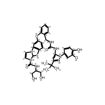 CC(C)(C)c1cc(NC(=O)NCc2ccccc2Oc2ccc3c(c2)N2C=CN(C(=O)NC(CO)CO)C2S3)n(-c2ccc(O)c(Cl)c2)n1